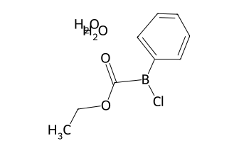 CCOC(=O)B(Cl)c1ccccc1.O.O